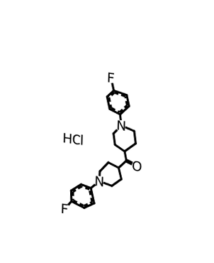 Cl.O=C(C1CCN(c2ccc(F)cc2)CC1)C1CCN(c2ccc(F)cc2)CC1